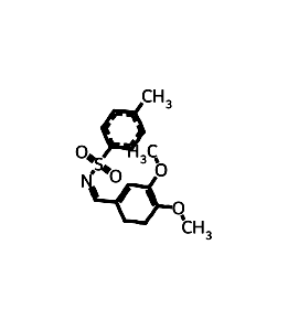 COC1=C(OC)CCC(/C=N\S(=O)(=O)c2ccc(C)cc2)=C1